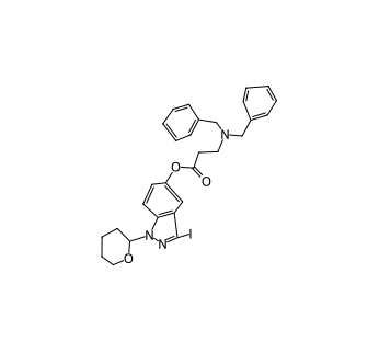 O=C(CCN(Cc1ccccc1)Cc1ccccc1)Oc1ccc2c(c1)c(I)nn2C1CCCCO1